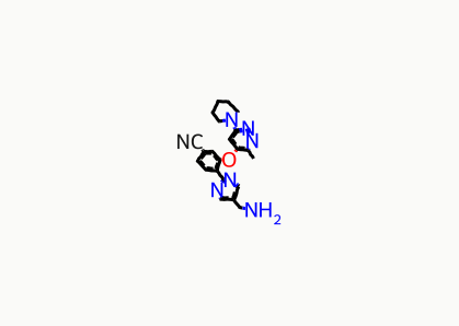 Cc1nnc(N2CCCCC2)cc1Oc1cc(C#N)ccc1-c1ncc(CN)cn1